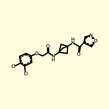 O=C(COc1ccc(Cl)c(Cl)c1)NC12CC(NC(=O)c3cnoc3)(C1)C2